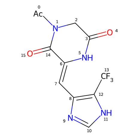 CC(=O)N1CC(=O)NC(=Cc2nc[nH]c2C(F)(F)F)C1=O